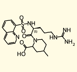 CC1CCN(C(=O)[C@H](CCCNC(=N)N)NS(=O)(=O)c2cccc3cccnc23)C(C(=O)O)C1